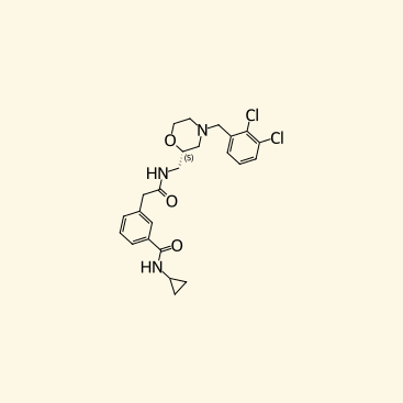 O=C(Cc1cccc(C(=O)NC2CC2)c1)NC[C@H]1CN(Cc2cccc(Cl)c2Cl)CCO1